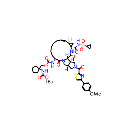 COc1ccc(-c2csc(C(=O)N3C[C@H]4CN5C(=O)[C@@H](NC(=O)OCC6(NC(=O)OC(C)(C)C)CCCC6)CCCCC/C=C\[C@H]6C[C@@]6(C(=O)NS(=O)(=O)C6CC6)NC(=O)[C@@H]5[C@H]4C3)n2)cc1